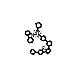 c1ccc(-c2ccc3c(c2)oc2c(-c4cccc(-c5ccc(-c6nc(-c7ccccc7)nc(-n7c8ccccc8c8ccccc87)n6)cc5)c4)cccc23)cc1